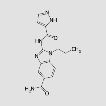 CCCn1c(NC(=O)c2ccn[nH]2)nc2cc(C(N)=O)ccc21